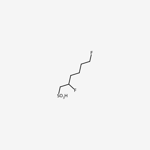 O=S(=O)(O)CC(F)CCCCF